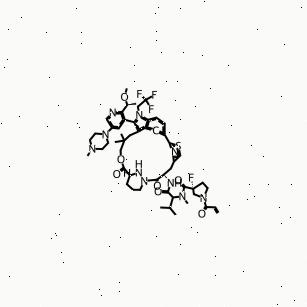 C=CC(=O)N1CC[C@](F)(C(=O)N(C)C(C(=O)N[C@H]2Cc3csc(n3)-c3ccc4c(c3)c(c(-c3cc(N5CCN(C)CC5)cnc3[C@H](C)OC)n4CC(F)(F)F)CC(C)(C)COC(=O)[C@@H]3CCCN(N3)C2=O)C(C)C)C1